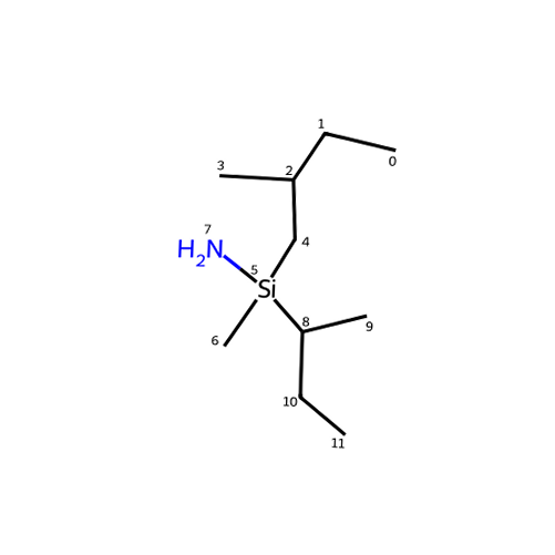 CCC(C)C[Si](C)(N)C(C)CC